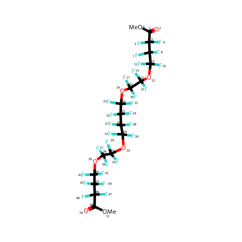 COC(=O)C(F)(F)C(F)(F)C(F)(F)OC(F)(F)C(F)(F)OC(F)(F)C(F)(F)C(F)(F)C(F)(F)OC(F)(F)C(F)(F)OC(F)(F)C(F)(F)C(F)(F)C(=O)OC